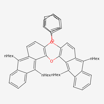 CCCCCCc1c2ccccc2c(CCCCCC)c2c(Oc3c(Oc4ccccc4)ccc4c(CCCCCC)c5ccccc5c(CCCCCC)c34)c(Oc3ccccc3)ccc12